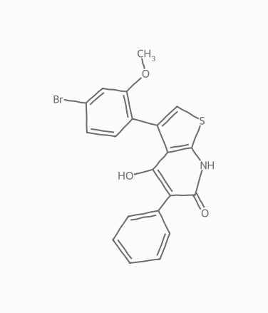 COc1cc(Br)ccc1-c1csc2[nH]c(=O)c(-c3ccccc3)c(O)c12